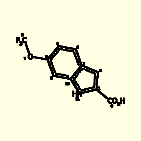 O=C(O)c1cc2ccc(OC(F)(F)F)cc2[nH]1